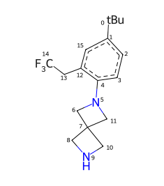 CC(C)(C)c1ccc(N2CC3(CNC3)C2)c(CC(F)(F)F)c1